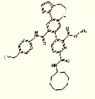 COC(=O)c1nc(C(=O)NC2CCCCCCC2)ccc1-c1cc2c(cc1C(=O)Nc1ccc(CN)cc1)-c1sccc1CCO2